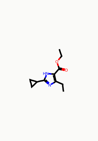 CCOC(=O)c1[nH]c(C2CC2)nc1CC